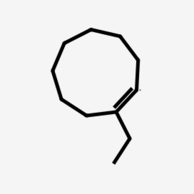 CC/C1=[C]/CCCCCCC1